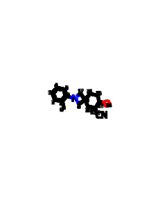 Cc1ccccc1N1CC2(C=C(C#N)C(=O)CC2)C1